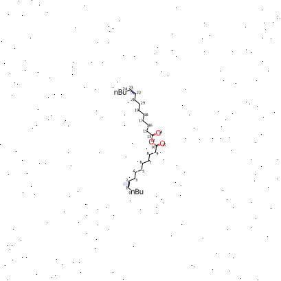 CCCC/C=C\CCCCCCCC(=O)OC(=O)CCCCCCC/C=C\CCCC